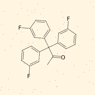 CC(=O)C(c1cccc(F)c1)(c1cccc(F)c1)c1cccc(F)c1